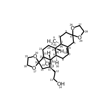 C[C@]12CCC3(CC1=CC[C@H]1[C@@H]4[C@@H](CCO)CC5(OCCO5)[C@@]4(C)CC[C@@H]12)OCCO3